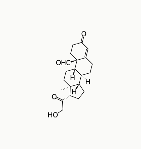 C[C@]12CC[C@H]3[C@@H](CCC4=CC(=O)CC[C@]43C=O)[C@@H]1CC[C@@H]2C(=O)CO